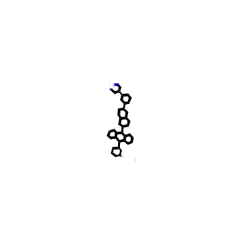 CC(C)(C)C1C=CC=C(c2c3ccccc3c(-c3ccc4cc(-c5cccc(-c6ccncc6)c5)ccc4c3)c3ccccc23)C1